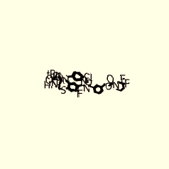 CC(C)(C)OC(=O)N[C@H]1CSc2cc(F)c(-c3noc(-c4cccc(COC(=O)N5CCCC(F)(F)C5)c4)n3)cc2N(Cc2ccc(Cl)cc2)C1=O